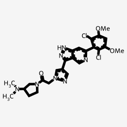 COc1cc(OC)c(Cl)c(-c2cc3[nH]nc(-c4cnn(CC(=O)N5CCC(N(C)C)C5)c4)c3cn2)c1Cl